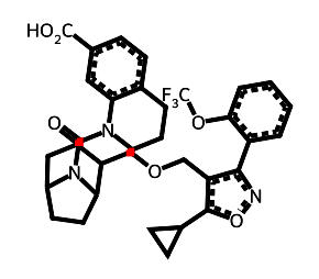 O=C(O)c1ccc2c(c1)N(C(=O)N1C3CCC(COCc4c(-c5ccccc5OC(F)(F)F)noc4C4CC4)C1CC3)CCC2